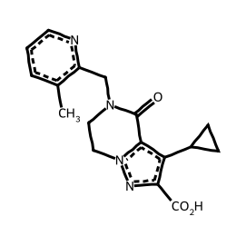 Cc1cccnc1CN1CCn2nc(C(=O)O)c(C3CC3)c2C1=O